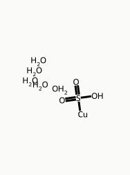 O.O.O.O.O.O=[S](=O)(O)[Cu]